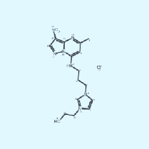 Cc1cc(NCCCn2cc[n+](CCO)c2)n2ncc([N+](=O)[O-])c2n1.[Cl-]